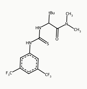 CN(C)C(=O)C(NC(=S)Nc1cc(C(F)(F)F)cc(C(F)(F)F)c1)C(C)(C)C